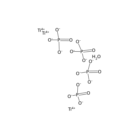 O.O=P([O-])([O-])[O-].O=P([O-])([O-])[O-].O=P([O-])([O-])[O-].O=P([O-])([O-])[O-].[Ti+4].[Ti+4].[Ti+4]